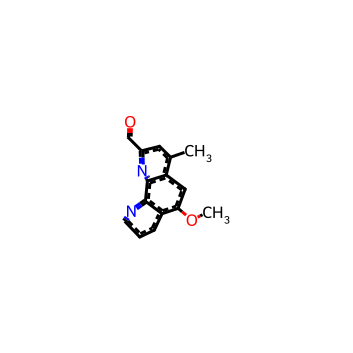 COc1cc2c(C)cc(C=O)nc2c2ncccc12